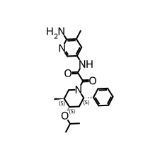 Cc1cc(NC(=O)C(=O)N2C[C@H](C)[C@@H](OC(C)C)C[C@H]2c2ccccc2)cnc1N